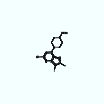 CC(=O)NC1CCN(c2cc(Cl)nn3c(I)c(C)nc23)CC1